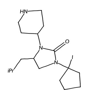 CC(C)CC1CN(C2(I)CCCC2)C(=O)N1C1CCNCC1